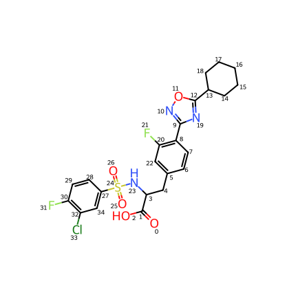 O=C(O)C(Cc1ccc(-c2noc(C3CCCCC3)n2)c(F)c1)NS(=O)(=O)c1ccc(F)c(Cl)c1